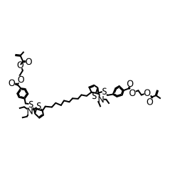 C=C(C)C(=O)OCCOC(=O)c1ccc(CSC2(N(CC)CC)SC3(CCCCCCCCCCC45C=CC(C4)C(SCc4ccc(C(=O)OCCOC(=O)C(=C)C)cc4)(N(CC)CC)S5)C=CC2C3)cc1